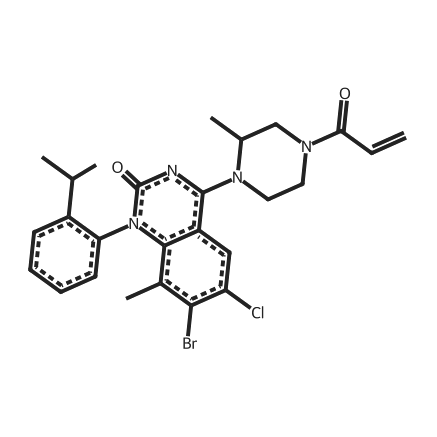 C=CC(=O)N1CCN(c2nc(=O)n(-c3ccccc3C(C)C)c3c(C)c(Br)c(Cl)cc23)C(C)C1